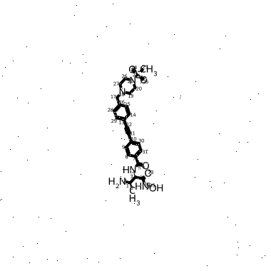 C[C@@H](N)[C@H](NC(=O)c1ccc(C#Cc2ccc(CN3CCN(S(C)(=O)=O)CC3)cc2)cc1)C(=O)NO